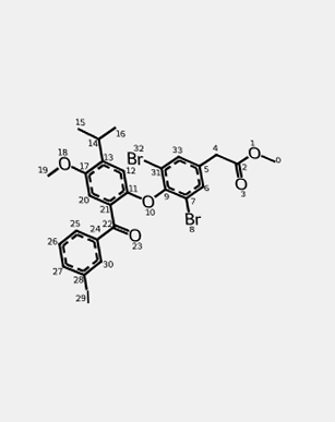 COC(=O)Cc1cc(Br)c(Oc2cc(C(C)C)c(OC)cc2C(=O)c2cccc(I)c2)c(Br)c1